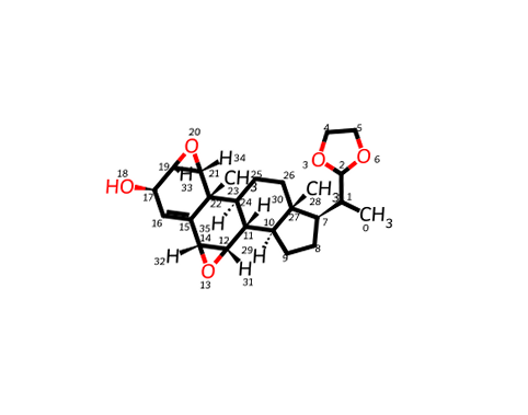 CC(C1OCCO1)[C@H]1CC[C@H]2[C@@H]3[C@@H]4O[C@@H]4C4=C[C@@H](O)[C@@H]5O[C@@H]5[C@]4(C)[C@H]3CC[C@]12C